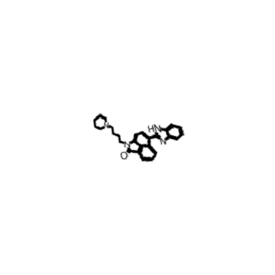 O=C1c2cccc3c(-c4nc5ccccc5[nH]4)ccc(c23)N1CCCCN1CCCCC1